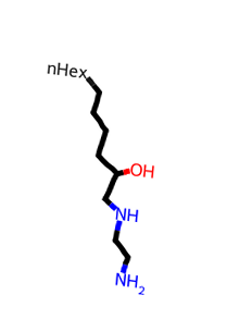 CCCCCCCCCCC(O)CNCCN